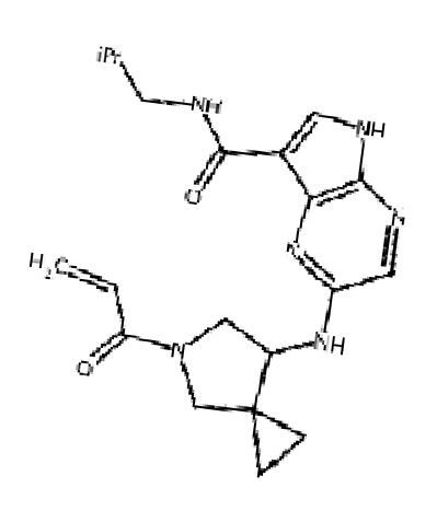 C=CC(=O)N1CC(Nc2cnc3[nH]cc(C(=O)NCC(C)C)c3n2)C2(CC2)C1